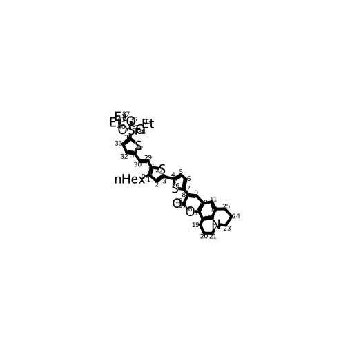 CCCCCCc1cc(-c2ccc(-c3cc4cc5c6c(c4oc3=O)CCCN6CCC5)s2)sc1/C=C/c1ccc([Si](OCC)(OCC)OCC)s1